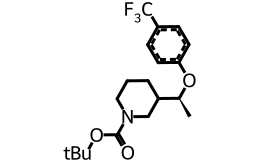 C[C@H](Oc1ccc(C(F)(F)F)cc1)C1CCCN(C(=O)OC(C)(C)C)C1